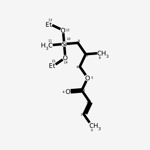 CC=CC(=O)OCC(C)C[Si](C)(OCC)OCC